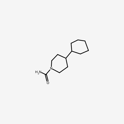 NC(=O)N1CCC(C2CCCCC2)CC1